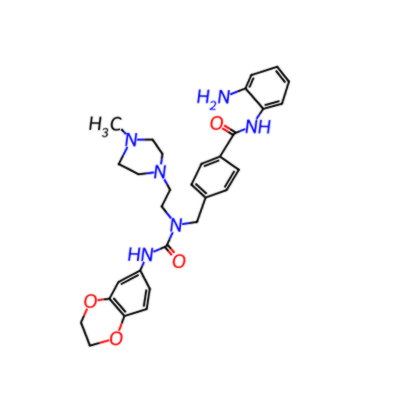 CN1CCN(CCN(Cc2ccc(C(=O)Nc3ccccc3N)cc2)C(=O)Nc2ccc3c(c2)OCCO3)CC1